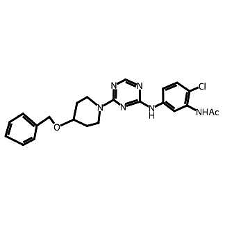 CC(=O)Nc1cc(Nc2ncnc(N3CCC(OCc4ccccc4)CC3)n2)ccc1Cl